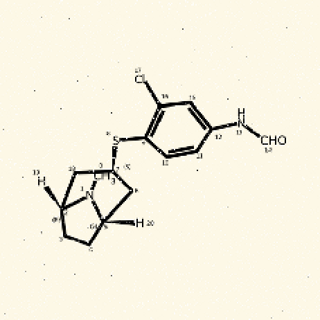 CN1[C@@H]2CC[C@H]1C[C@H](Sc1ccc(NC=O)cc1Cl)C2